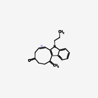 C=C1CCC(=O)C/C=C\c2c1c1ccccc1n2CCC